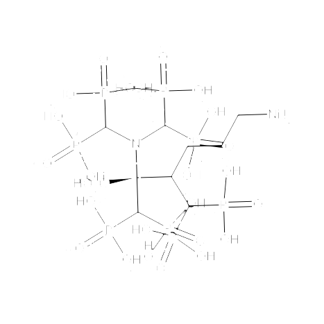 NCCCC(C(P(=O)(O)O)P(=O)(O)O)[C@](C(=O)O)(C(P(=O)(O)O)P(=O)(O)O)N(C(P(=O)(O)O)P(=O)(O)O)C(P(=O)(O)O)P(=O)(O)O